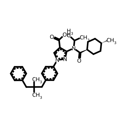 CC(C)N(c1nn(-c2ccc(CC(C)(C)Cc3ccccc3)cc2)cc1C(=O)O)C(=O)[C@H]1CC[C@H](C)CC1